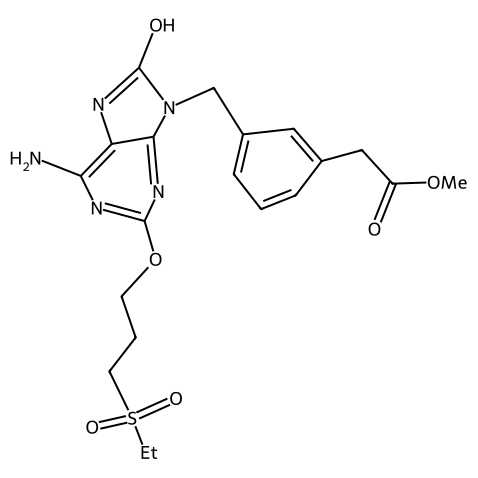 CCS(=O)(=O)CCCOc1nc(N)c2nc(O)n(Cc3cccc(CC(=O)OC)c3)c2n1